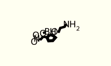 NCCCOc1cccc2c1BOC2C[N+](=O)[O-]